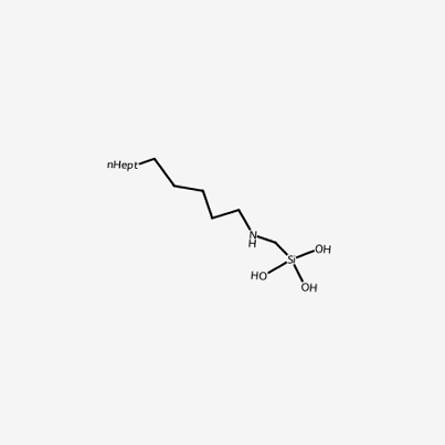 CCCCCCCCCCCCNC[Si](O)(O)O